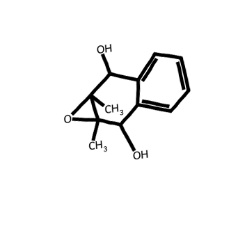 CC12OC1(C)C(O)c1ccccc1C2O